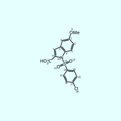 COc1ccc2c(c1)cc(C(=O)O)n2S(=O)(=O)c1ccc(Cl)cc1